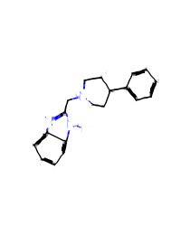 CC(C)n1c(CN2CCC(c3ccccc3)CC2)nc2ccccc21